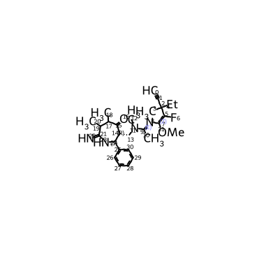 C#CC(C)(CC)/C(F)=C(\N=C(/C)N(C)C[C@H]1C(=O)C(C)C(C)C(=N)N[C@@H]1c1ccccc1)OC